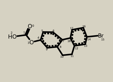 O=C(O)Oc1ccc2c(c1)CCc1cc(Br)ccc1-2